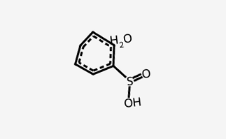 O.O=S(O)c1ccccc1